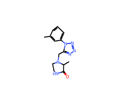 Cc1cccc(-n2nnnc2CN2CCNC(=O)C2C)c1